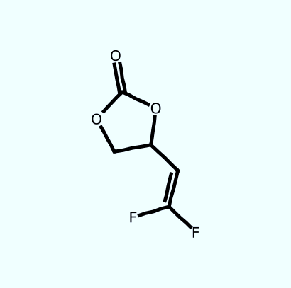 O=C1OCC(C=C(F)F)O1